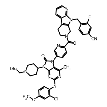 Cc1nc(Nc2ccc(OC(F)(F)F)cc2Cl)nc2c1n(-c1ccc(C(=O)N3CCc4c(n(Cc5ccc(C#N)cc5F)c5ncccc45)C3)nc1)c(=O)n2C1CCN(CC(C)(C)C)CC1